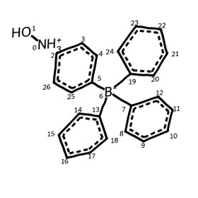 [NH3+]O.c1ccc([B-](c2ccccc2)(c2ccccc2)c2ccccc2)cc1